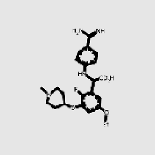 CCOc1cc(OC2CCN(C)CC2)c(F)c(C(Nc2ccc(C(=N)N)cc2)C(=O)O)c1